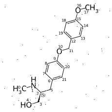 CN[C@H](CO)Cc1ccc(OCc2ccc(OC)cc2)cc1